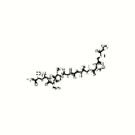 CC(C)C[C@H](NC(=O)[C@H](CO)NC(=O)CNC(=O)CNC(=O)CNC(=O)[C@H](CO)NC(=O)CNC(=O)CN)C(=O)N[C@@H](CCC(N)=O)C(=O)O